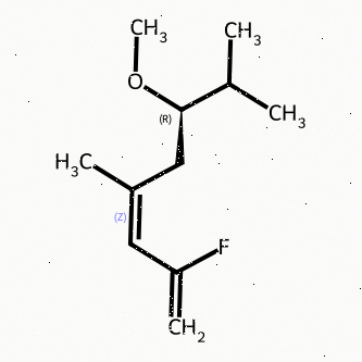 C=C(F)/C=C(/C)C[C@@H](OC)C(C)C